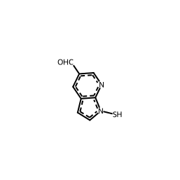 O=Cc1cnc2c(ccn2S)c1